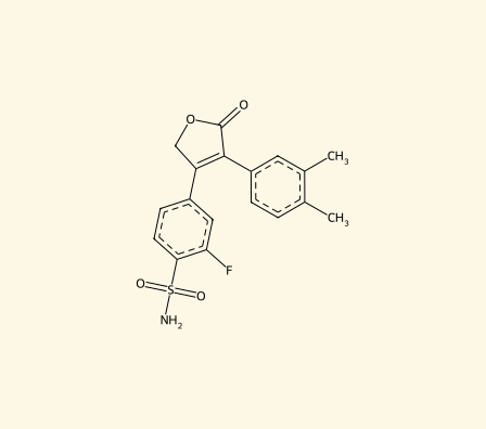 Cc1ccc(C2=C(c3ccc(S(N)(=O)=O)c(F)c3)COC2=O)cc1C